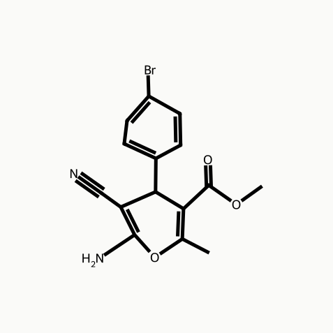 COC(=O)C1=C(C)OC(N)=C(C#N)C1c1ccc(Br)cc1